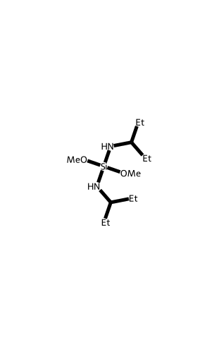 CCC(CC)N[Si](NC(CC)CC)(OC)OC